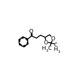 CC1(C)OCC(CCC(=O)c2ccccc2)O1